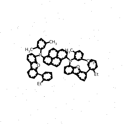 CCc1ccccc1-c1cccc2c1oc1c(N(c3cc(C)ccc3C)c3ccc4ccc5c(N(c6cc(C)ccc6C)c6cccc7c6oc6c(-c8ccccc8CC)cccc67)ccc6ccc3c4c65)cccc12